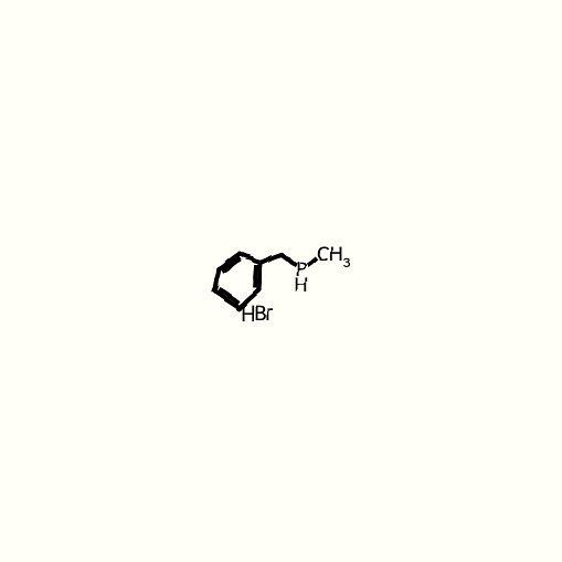 Br.CPCc1ccccc1